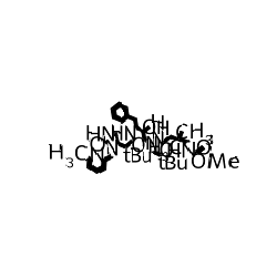 COC(=O)NCC(C)(C)CC(=O)NN(CCC(C)(C)C)CC(O)C(Cc1ccccc1)NC(=O)C(C1CNC(=O)N1Cc1cccc(C)n1)C(C)(C)C